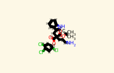 CC(C)(C)OC(=O)C(CCCN)(Cc1c[nH]c2ccccc12)C(=O)Oc1cc(Cl)c(Cl)cc1Cl